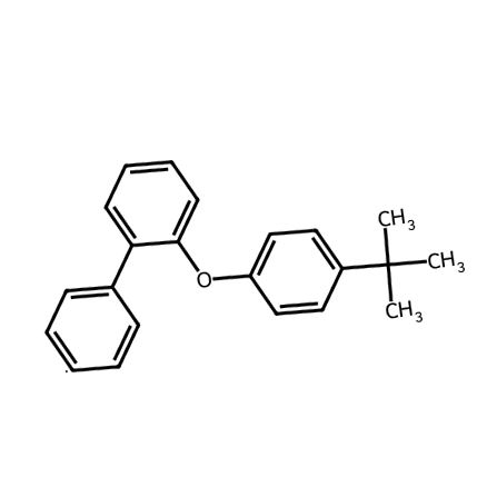 CC(C)(C)c1ccc(Oc2ccccc2-c2cc[c]cc2)cc1